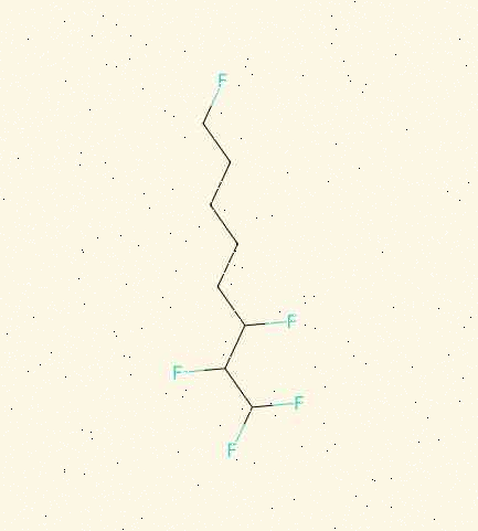 FCCCCCC(F)C(F)C(F)F